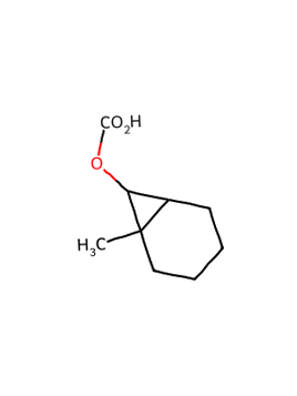 CC12CCCCC1C2OC(=O)O